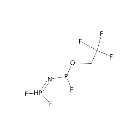 FP(N=[PH](F)F)OCC(F)(F)F